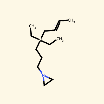 C/C=C/C[Si](CC)(CC)CCCN1CC1